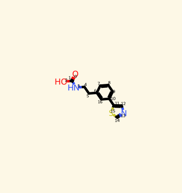 O=C(O)NCCc1cccc(-c2cncs2)c1